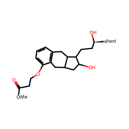 CCCCC[C@H](O)CCC1C(O)CC2Cc3c(cccc3OCCC(=O)OC)CC21